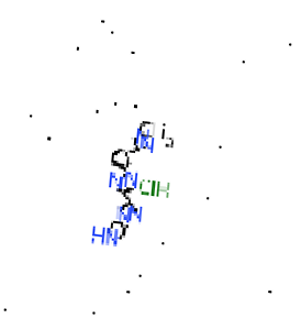 Cl.Cn1cc(-c2cccc(-c3ncc(-c4cnn(C5CCNCC5)c4)cn3)c2)cn1